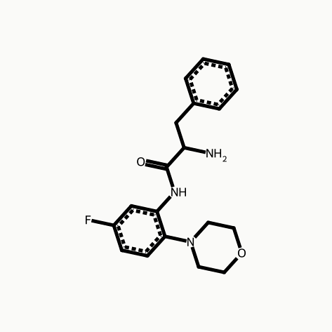 NC(Cc1ccccc1)C(=O)Nc1cc(F)ccc1N1CCOCC1